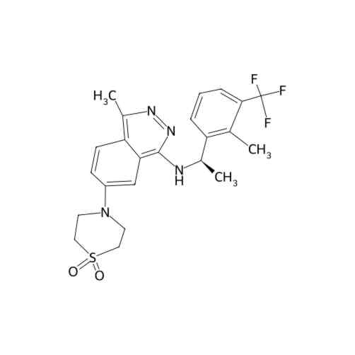 Cc1c([C@@H](C)Nc2nnc(C)c3ccc(N4CCS(=O)(=O)CC4)cc23)cccc1C(F)(F)F